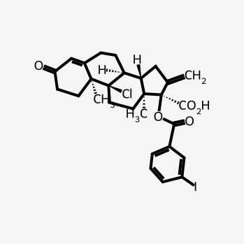 C=C1C[C@H]2[C@@H]3CCC4=CC(=O)CC[C@]4(C)[C@@]3(Cl)CC[C@]2(C)[C@@]1(OC(=O)c1cccc(I)c1)C(=O)O